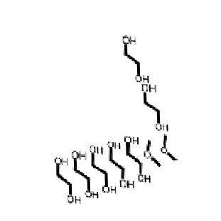 COC.COC.OCCO.OCCO.OCCO.OCCO.OCCO.OCCO.OCCO